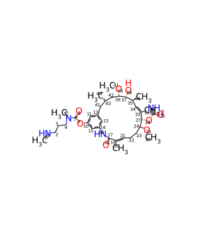 CNCCCN(C)C(=O)Oc1cc2cc(c1)NC(=O)/C(C)=C/CC[C@H](OC)[C@@H](OC(N)=O)/C(C)=C/[C@H](C)[C@@H](O)[C@@H](OC)C[C@H](C)C2